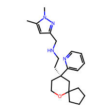 Cc1cc(CNCC[C@@]2(c3ccccn3)CCOC3(CCCC3)C2)nn1C